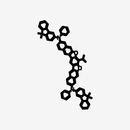 CC(C)c1c2oc3cc4cc(N(c5ccccc5)c5ccc6c(c5)-c5ccccc5C6(C)C)ccc4cc3c2cc2c1oc1cc3cc(N(c4ccccc4)c4ccc5c(c4)-c4ccccc4C5(C)C)ccc3cc12